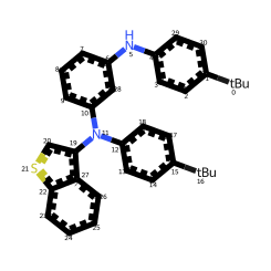 CC(C)(C)c1ccc(Nc2cccc(N(c3ccc(C(C)(C)C)cc3)c3csc4ccccc34)c2)cc1